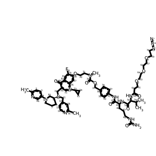 Cc1ccc(N2CCC[C@H](N(Cc3ccnc(C)c3)Cc3cn(C4CC4)c4cc(OCCN(C)C(=O)OCc5ccc(NC(=O)C(CCCNC(N)=O)NC(=O)C(NC(=O)CCOCCOCCOCCN=[N+]=[N-])C(C)C)cc5)c(F)cc4c3=O)C2)cn1